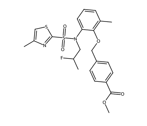 COC(=O)c1ccc(COc2c(C)cccc2N(CC(C)F)S(=O)(=O)c2nc(C)cs2)cc1